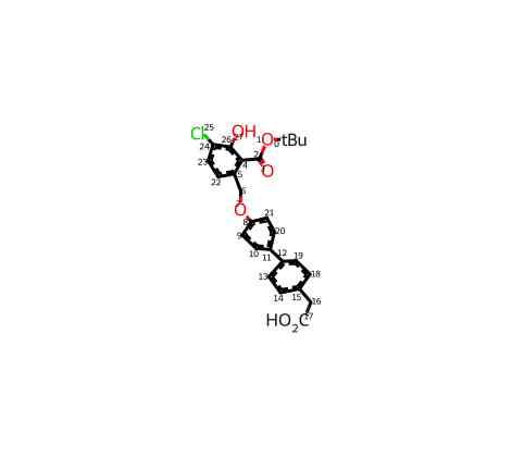 CC(C)(C)OC(=O)c1c(COc2ccc(-c3ccc(CC(=O)O)cc3)cc2)ccc(Cl)c1O